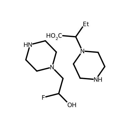 CCC(C(=O)O)N1CCNCC1.OC(F)CN1CCNCC1